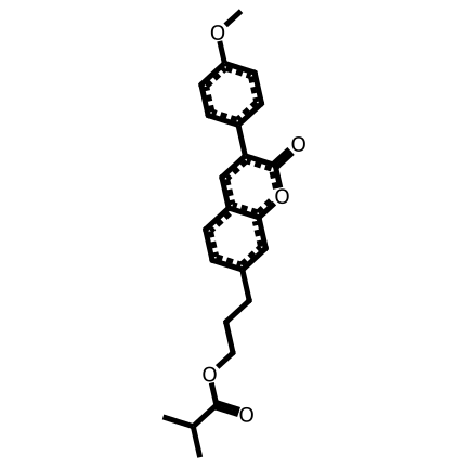 COc1ccc(-c2cc3ccc(CCCOC(=O)C(C)C)cc3oc2=O)cc1